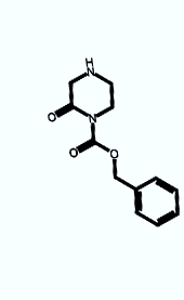 O=C1CNCCN1C(=O)OCc1ccccc1